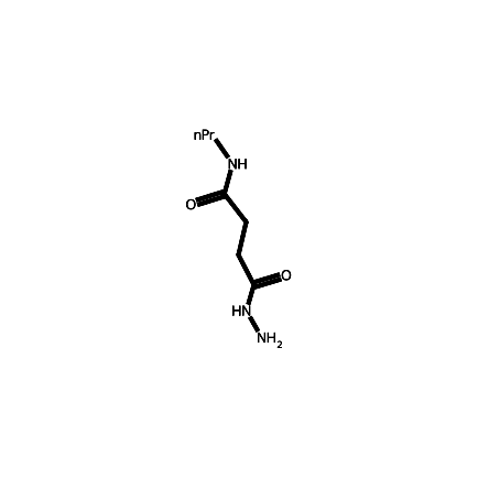 CCCNC(=O)CCC(=O)NN